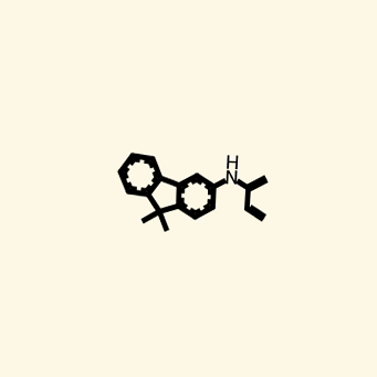 C=CC(=C)Nc1ccc2c(c1)-c1ccccc1C2(C)C